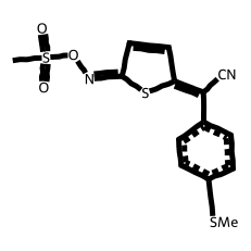 CSc1ccc(/C(C#N)=C2C=C/C(=N\OS(C)(=O)=O)S/2)cc1